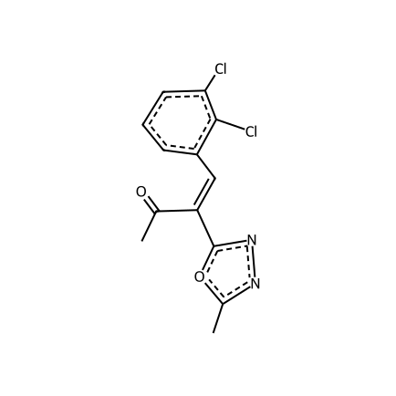 CC(=O)C(=Cc1cccc(Cl)c1Cl)c1nnc(C)o1